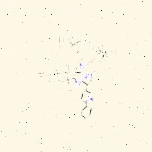 CO[C@]1(C(=O)O)CC[C@](C)(c2cc(N(COCC[Si](C)(C)C)COCC[Si](C)(C)C)n3ncc(-c4ccc(-c5ccccc5)nc4)c3n2)CC1